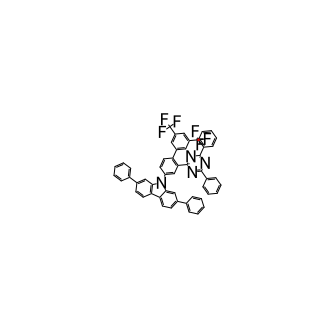 FC(F)(F)c1cc(-c2ccc(-n3c4cc(-c5ccccc5)ccc4c4ccc(-c5ccccc5)cc43)cc2-c2nc(-c3ccccc3)nc(-c3ccccc3)n2)cc(C(F)(F)F)c1